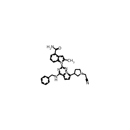 Cc1cc2c(C(N)=O)cccc2n1-c1nc(NCc2ccccc2)c2ccc(C3CCN(CC#N)C3)n2n1